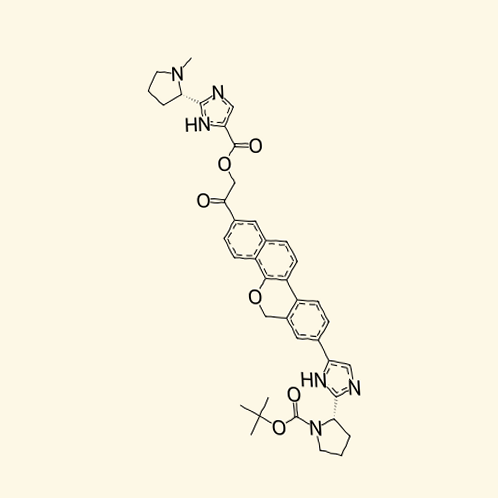 CN1CCC[C@H]1c1ncc(C(=O)OCC(=O)c2ccc3c4c(ccc3c2)-c2ccc(-c3cnc([C@@H]5CCCN5C(=O)OC(C)(C)C)[nH]3)cc2CO4)[nH]1